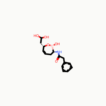 O=C(Cc1ccccc1)N[C@H]1CC=C[C@H](CC(O)O)OB1O